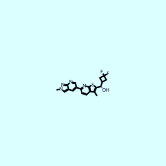 Cc1c([C@@H](O)C2CC(F)(F)C2)sc2nc(-c3cnc4nn(C)cc4c3)ccc12